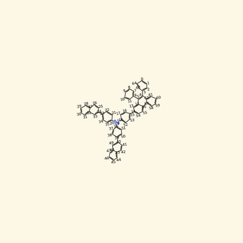 c1ccc(-c2c(-c3ccccc3)c3cc(-c4ccc(N(c5ccc(-c6ccc7ccccc7c6)cc5)c5ccc(-c6ccc7ccccc7c6)cc5)cc4)ccc3c3ccccc23)cc1